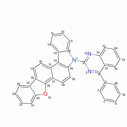 c1ccc(-c2nc(-n3c4ccccc4c4c5ccc6c7ccccc7oc6c5ccc43)nc3ccccc23)cc1